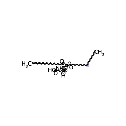 CCCCCCCC/C=C\CCCCCCCC(=O)O[C@@H](COO[PH](=O)OCC(N)C(=O)O)COC(=O)CCCCCCCCCCCCCCCCC